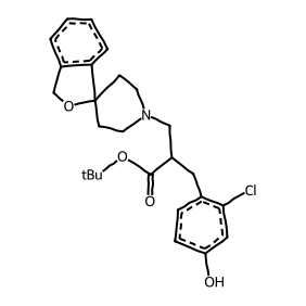 CC(C)(C)OC(=O)C(Cc1ccc(O)cc1Cl)CN1CCC2(CC1)OCc1ccccc12